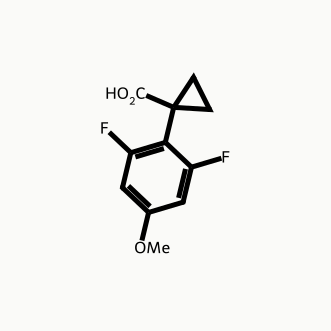 COc1cc(F)c(C2(C(=O)O)CC2)c(F)c1